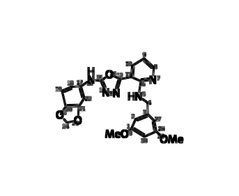 COc1cc(CNc2ncccc2-c2nnc(Nc3ccc4c(c3)OCO4)o2)cc(OC)c1